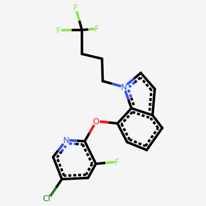 Fc1cc(Cl)cnc1Oc1cccc2ccn(CCCC(F)(F)F)c12